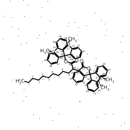 CCCCCCCCCCC(CC(=O)OC(c1ccccc1)(c1ccccc1OC)c1ccccc1OC)C(=O)OC(c1ccccc1)(c1ccccc1OC)c1ccccc1OC